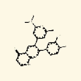 Cc1cc(-c2cc3c(=O)cc[nH]c3nc2-c2ccc(F)c(C#N)c2)cc(N(C)C)n1